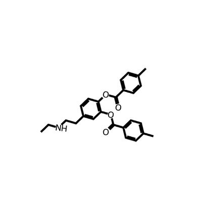 CCNCCc1ccc(OC(=O)c2ccc(C)cc2)c(OC(=O)c2ccc(C)cc2)c1